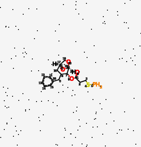 O=C(CCSP)OC1C(Cc2ccccc2)C[C@H]2CO[C@@H]1O2